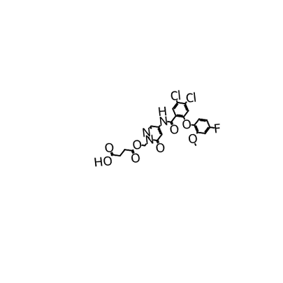 COc1cc(F)ccc1Oc1cc(Cl)c(Cl)cc1C(=O)Nc1cnn(COC(=O)CCC(=O)O)c(=O)c1